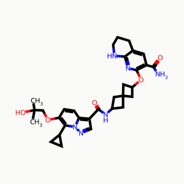 CC(C)(O)COc1ccc2c(C(=O)NC3CC4(C3)CC(Oc3nc5c(cc3C(N)=O)CCCN5)C4)cnn2c1C1CC1